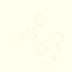 CNC(=O)N(Cc1ccccc1)C1CCN(Cc2nc(-c3ccc(C(F)(F)F)cc3)[nH]c2-c2ccccc2)CC1